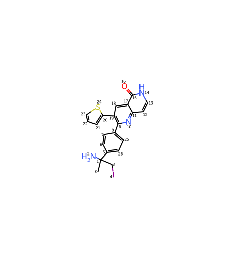 CC(N)(CI)c1ccc(-c2nc3cc[nH]c(=O)c3cc2-c2cccs2)cc1